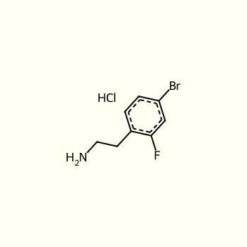 Cl.NCCc1ccc(Br)cc1F